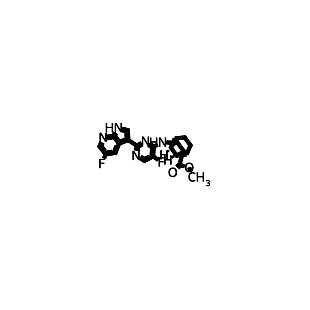 COC(=O)[C@H]1C2CCC(CC2)[C@@H]1Nc1nc(-c2c[nH]c3ncc(F)cc23)ncc1F